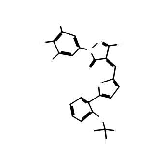 CC1=NN(c2cc(F)c(O)c(F)c2)C(=O)C1=Cc1ccc(-c2ccccc2OC(F)(F)F)o1